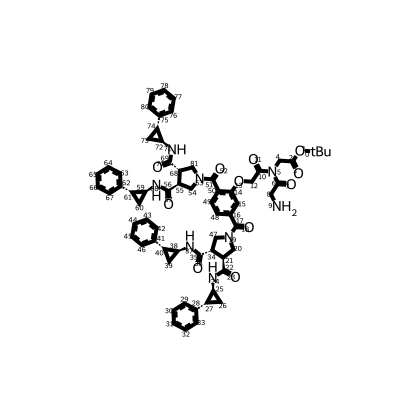 CC(C)(C)OC(=O)CN(C(=O)CN)C(=O)COc1cc(C(=O)N2C[C@@H](C(=O)N[C@H]3C[C@@H]3c3ccccc3)[C@H](C(=O)N[C@H]3C[C@@H]3c3ccccc3)C2)ccc1C(=O)N1C[C@@H](C(=O)N[C@H]2C[C@@H]2c2ccccc2)[C@H](C(=O)N[C@H]2C[C@@H]2c2ccccc2)C1